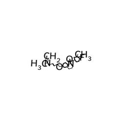 C=CCN(C)CC=CCOc1ccc2c(c1)CCCN2C(=O)c1ccc(F)c(C)c1